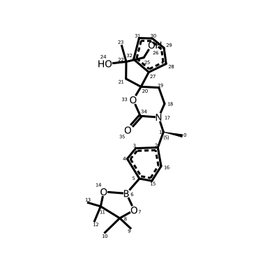 C[C@@H](c1ccc(B2OC(C)(C)C(C)(C)O2)cc1)N1CCC(CC(C)(O)CO)(c2ccccc2)OC1=O